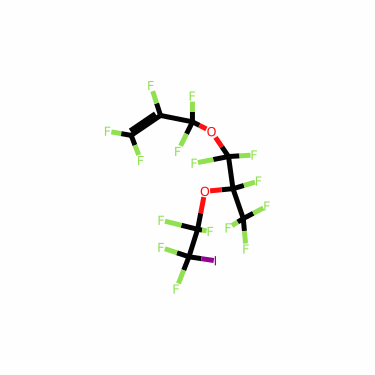 FC(F)=C(F)C(F)(F)OC(F)(F)C(F)(OC(F)(F)C(F)(F)I)C(F)(F)F